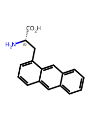 N[C@@H](Cc1cccc2cc3ccccc3cc12)C(=O)O